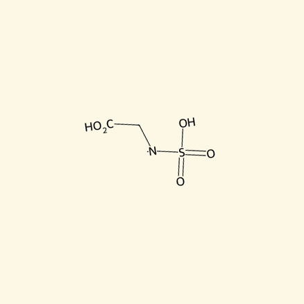 O=C(O)C[N]S(=O)(=O)O